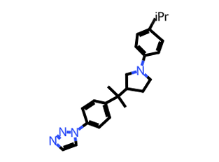 CC(C)c1ccc(N2CCC(C(C)(C)c3ccc(-n4ccnn4)cc3)C2)cc1